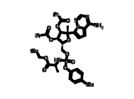 CC(C)C(=O)O[C@H]1[C@@H](OC(=O)C(C)C)[C@](C)(c2ccc3c(N)ncnn23)O[C@@H]1COP(=O)(N[C@@H](C)C(=O)OCC(C)(C)C)Oc1ccc(C(C)(C)C)cc1